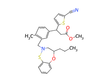 CCCC1CN(Cc2cc(C(CC(=O)OC)c3ccc(C#N)s3)ccc2C)Sc2ccccc2O1